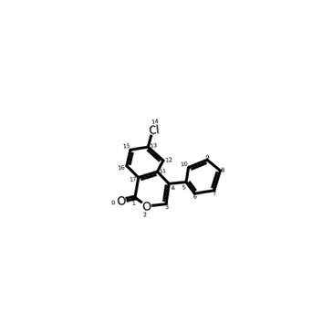 O=c1occ(-c2ccccc2)c2cc(Cl)ccc12